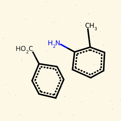 Cc1ccccc1N.O=C(O)c1ccccc1